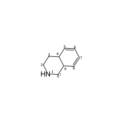 [C]1NCCC2C=CC=CC12